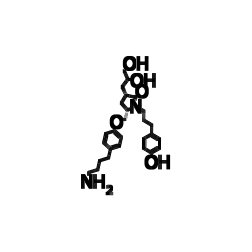 NCCCCc1ccc(OC[C@@H]2C[C@@H](CC(O)CO)C(=O)N2CCCc2ccc(O)cc2)cc1